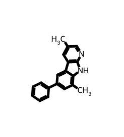 Cc1cnc2[nH]c3c(C)cc(-c4ccccc4)cc3c2c1